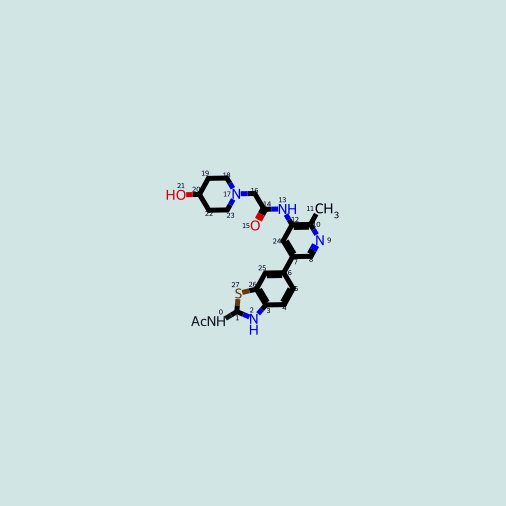 CC(=O)NC1Nc2ccc(-c3cnc(C)c(NC(=O)CN4CCC(O)CC4)c3)cc2S1